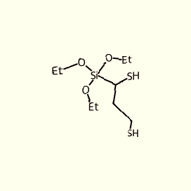 CCO[Si](OCC)(OCC)C(S)CCS